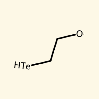 [O]CC[TeH]